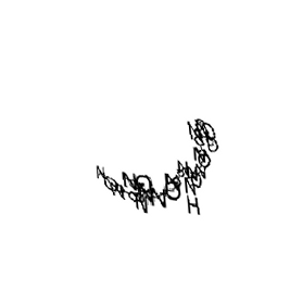 CN(C)CCCOc1ccc(-c2ccc3ncc4c(c3c2)C2(CCN(C)CC2)C(=O)N4CCN(C)CCCOc2ccc(-c3ccc4ncc5c(c4c3)C3(CCNCC3)C(=O)N5CCN(C)CCCOc3ccc(-c4ccc5ncc6c(c5c4)C4(CCOCC4)C(=O)N6C4CC4)cn3)cn2)cn1